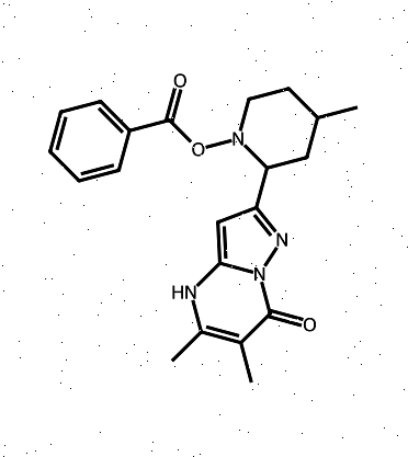 Cc1[nH]c2cc(C3CC(C)CCN3OC(=O)c3ccccc3)nn2c(=O)c1C